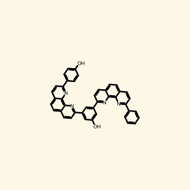 Oc1ccc(-c2ccc3ccc4ccc(-c5cc(O)cc(-c6ccc7ccc8ccc(-c9ccccc9)nc8c7n6)c5)nc4c3n2)cc1